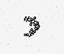 O=C(OCC(F)(F)F)C1COC2(OC1C(=O)OCC(F)(F)F)C1CC3CC2CC(OC(=O)C(F)(F)S(=O)(=O)O)(C3)C1